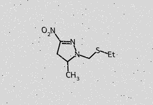 CCSCN1N=C([N+](=O)[O-])CC1C